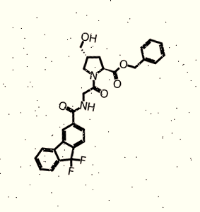 O=C(NCC(=O)N1C[C@H](CO)C[C@H]1C(=O)OCc1ccccc1)c1ccc2c(c1)-c1ccccc1C2(F)F